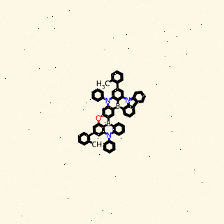 Cc1ccccc1-c1cc2c3c(c1)N(c1ccccc1)c1ccccc1B3c1cc3c(cc1O2)N(c1ccccc1)c1cc(-c2ccccc2C)cc2c1B3c1cccc3c4ccccc4n-2c13